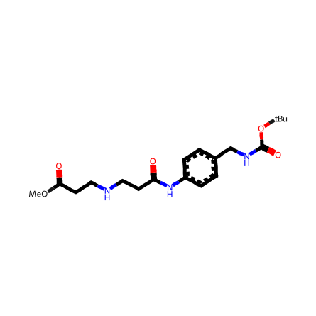 COC(=O)CCNCCC(=O)Nc1ccc(CNC(=O)OC(C)(C)C)cc1